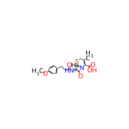 COc1ccc(CCC(=O)N[C@@H]2C(=O)N3C(C(=O)O)=C(C)CS[C@H]23)cc1